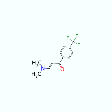 CN(C)C=CC(=O)c1ccc(C(F)(F)F)cc1